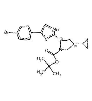 CC(C)(C)OC(=O)N1C[C@@H](C2CC2)C[C@H]1c1nc(-c2ccc(Br)cc2)c[nH]1